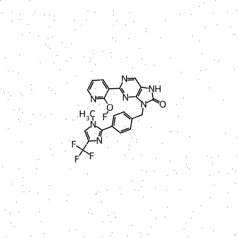 Cn1cc(C(F)(F)F)nc1-c1ccc(Cn2c(=O)[nH]c3cnc(-c4cccnc4OF)nc32)cc1